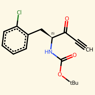 C#CC(=O)[C@H](Cc1ccccc1Cl)NC(=O)OC(C)(C)C